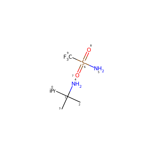 CC(C)C(C)(C)N.NS(=O)(=O)C(F)(F)F